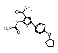 NC(=O)Nc1sc(-c2ccc(OC3CCCC3)nc2)cc1C(N)=O